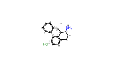 C[C@@H](c1ccccc1)C1c2ccccc2CCC1N.Cl